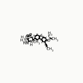 CC#Cc1cc2c(cc1OC(C)C)sc1ccc([C@]3(C)CS(=O)(=O)C(C)(C)C(=N)N3)cc12